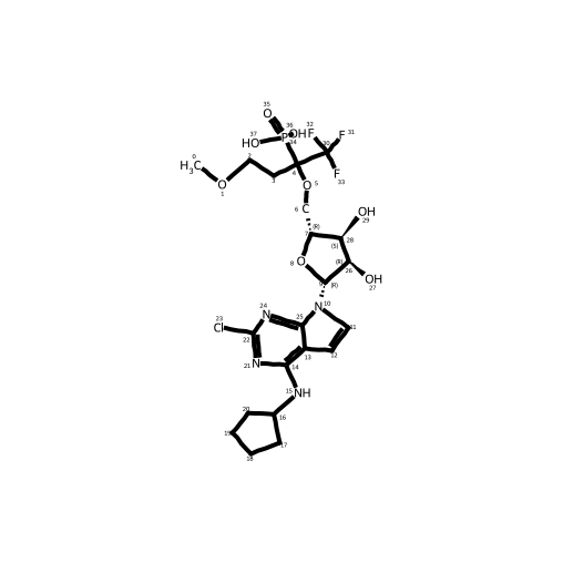 COCCC(OC[C@H]1O[C@@H](n2ccc3c(NC4CCCC4)nc(Cl)nc32)[C@H](O)[C@@H]1O)(C(F)(F)F)P(=O)(O)O